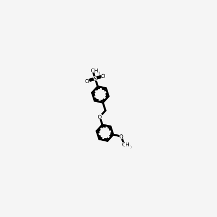 COc1cccc(OCc2ccc(S(C)(=O)=O)cc2)c1